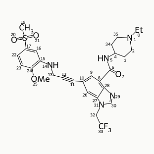 CCN1CCC(NC(=O)c2cc(C#CCNc3cc(S(C)(=O)=O)ccc3OC)cc3c2ncn3CC(F)(F)F)CC1